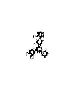 C[C@@H]1CN(c2ncccc2Cl)CCN1c1cc(-c2ccc(F)c(Cl)c2)nc(N2CCCCC2)n1